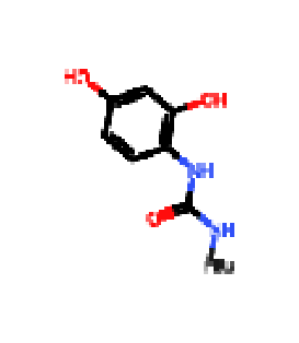 CCCCNC(=O)Nc1ccc(O)cc1O